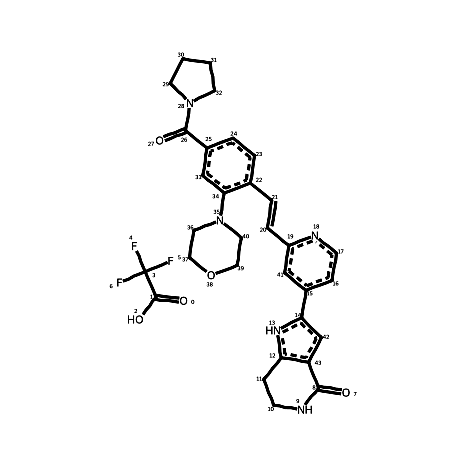 O=C(O)C(F)(F)F.O=C1NCCc2[nH]c(-c3ccnc(/C=C/c4ccc(C(=O)N5CCCC5)cc4N4CCOCC4)c3)cc21